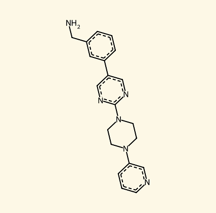 NCc1cccc(-c2cnc(N3CCN(c4cccnc4)CC3)nc2)c1